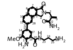 C=C(CN1Cc2c(ccc3ccc(-c4cc(OC)c(N)c(C(=O)NCCCN)c4)cc23)C1=O)C(N)=O